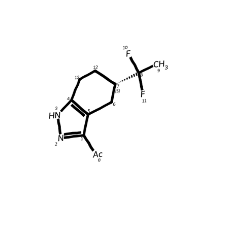 CC(=O)c1n[nH]c2c1C[C@@H](C(C)(F)F)CC2